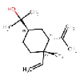 C=C[C@]1(C)CC[C@@H](C(C)(C)O)C[C@@H]1C(=C)C